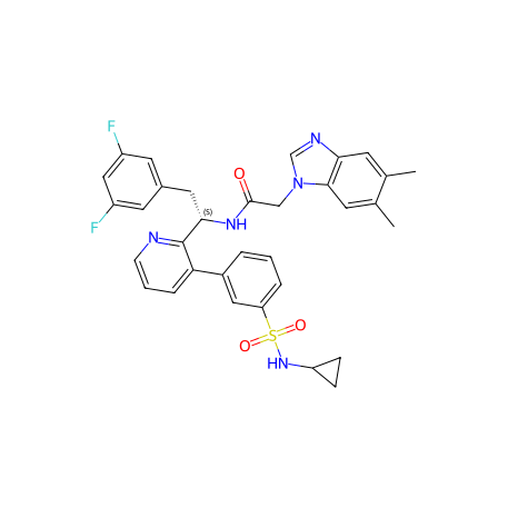 Cc1cc2ncn(CC(=O)N[C@@H](Cc3cc(F)cc(F)c3)c3ncccc3-c3cccc(S(=O)(=O)NC4CC4)c3)c2cc1C